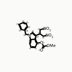 COC(=O)Oc1cccc2c1c(C(C[N+](=O)[O-])C[N+](=O)[O-])cn2Cc1ccccc1